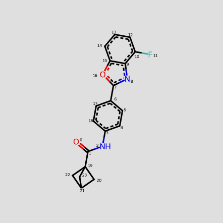 O=C(Nc1ccc(-c2nc3c(F)cccc3o2)cc1)C12CC(C1)C2